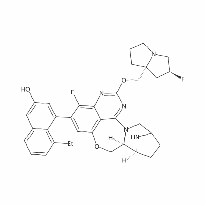 CCc1cccc2cc(O)cc(-c3cc4c5c(nc(OC[C@]67CCCN6C[C@@H](F)C7)nc5c3F)N3CC5CC[C@H](N5)[C@H]3CO4)c12